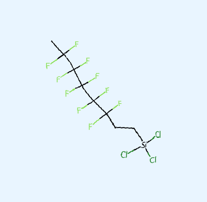 CC(F)(F)C(F)(F)C(F)(F)C(F)(F)C(F)(F)CC[Si](Cl)(Cl)Cl